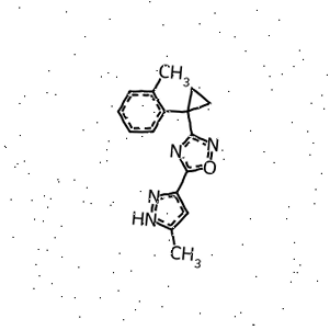 Cc1cc(-c2nc(C3(c4ccccc4C)CC3)no2)n[nH]1